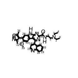 CCN(CC)CCNC(=O)c1nc(-c2ccnc3ccccc23)c2c(n1)[nH]c1cc(-c3c(C)noc3C)c(OC)cc12